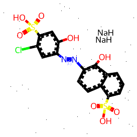 O=S(=O)(O)c1cc(O)c(/N=N/c2ccc3c(S(=O)(=O)O)cccc3c2O)cc1Cl.[NaH].[NaH]